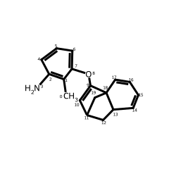 Cc1c(N)cccc1OC1=CC2CC3C=CC=CC13C2